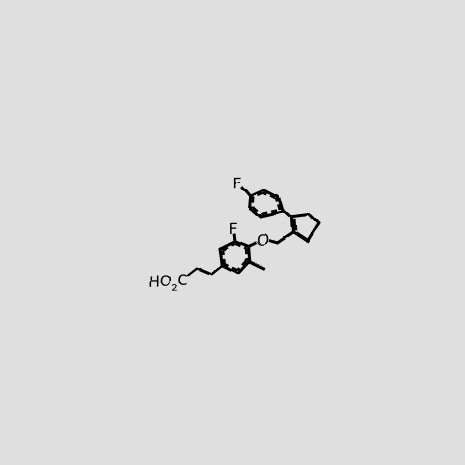 Cc1cc(CCC(=O)O)cc(F)c1OCC1=C(c2ccc(F)cc2)CCC1